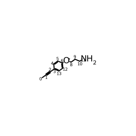 CC#Cc1ccc(OCCCN)cc1